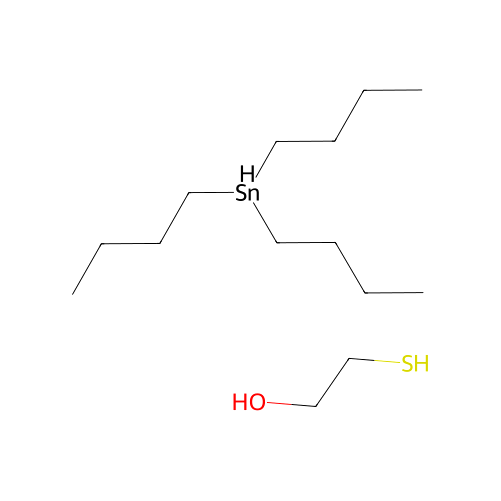 CCC[CH2][SnH]([CH2]CCC)[CH2]CCC.OCCS